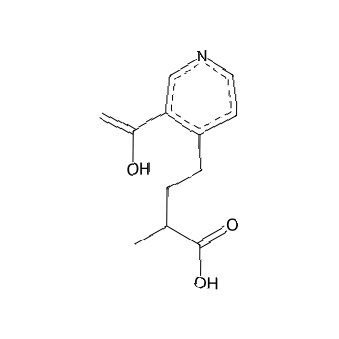 C=C(O)c1cnccc1CCC(C)C(=O)O